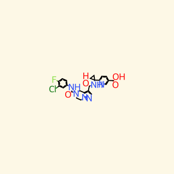 O=C(O)c1ccc(C2(NC(O)c3cnn4c3CN(C(=O)Nc3ccc(F)c(Cl)c3)CC4)CC2)nc1